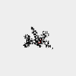 Cc1cccc(-c2ccc3c(c2)c2ccccc2n3-c2ccc(-c3ccc(C#N)cc3)cc2-c2cc(-c3nc(-c4ccccc4)nc(-c4ccccc4)n3)ccc2-n2c3ccccc3c3cc(-c4cccc(C)c4)ccc32)c1